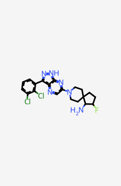 NC1C(F)CCC12CCN(c1cnc3c(-c4cccc(Cl)c4Cl)n[nH]c3n1)CC2